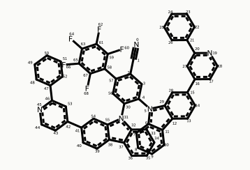 N#Cc1cc(-n2c3ccccc3c3ccc(-c4ccnc(-c5ccccc5)c4)cc32)c(-n2c3ccccc3c3ccc(-c4ccnc(-c5ccccc5)c4)cc32)cc1-c1c(F)c(F)c(F)c(F)c1F